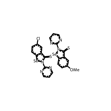 COc1ccc2[se]n(-c3ncccn3)c(=S)c2c1.S=c1c2cc(Cl)ccc2[se]n1-c1ncccn1